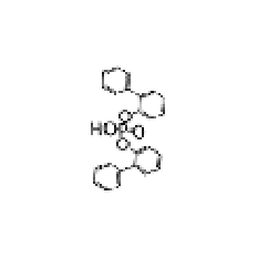 O=P(O)(Oc1ccccc1-c1ccccc1)Oc1ccccc1-c1ccccc1